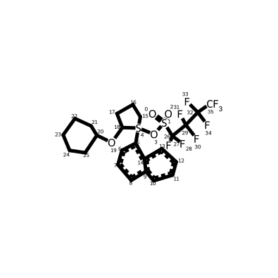 O=S(=O)(OS1(c2cccc3ccccc23)CCCC1OC1CCCCC1)C(F)(F)C(F)(F)C(F)(F)C(F)(F)F